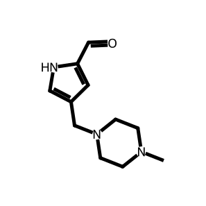 CN1CCN(Cc2c[nH]c(C=O)c2)CC1